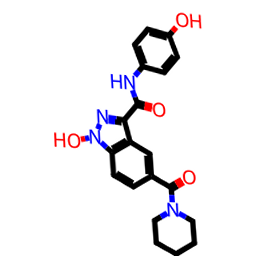 O=C(Nc1ccc(O)cc1)c1nn(O)c2ccc(C(=O)N3CCCCC3)cc12